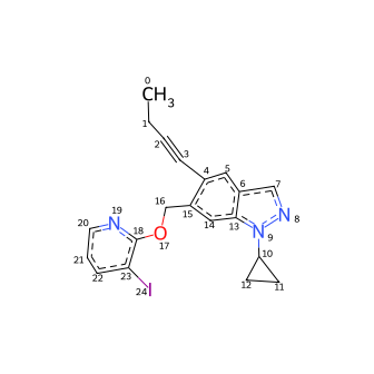 CCC#Cc1cc2cnn(C3CC3)c2cc1COc1ncccc1I